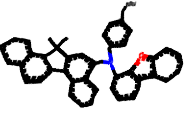 CC(C)(C)c1ccc(N(c2cc3c(c4ccccc24)-c2ccc4ccccc4c2C3(C)C)c2cccc3c2oc2ccccc23)cc1